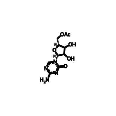 CC(=O)OC[C@H]1O[C@@H](n2cnc(N)nc2=O)C(O)C1O